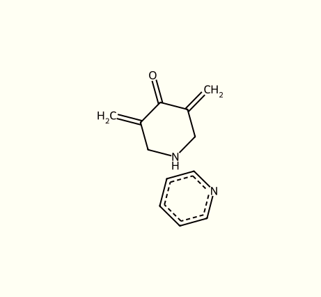 C=C1CNCC(=C)C1=O.c1ccncc1